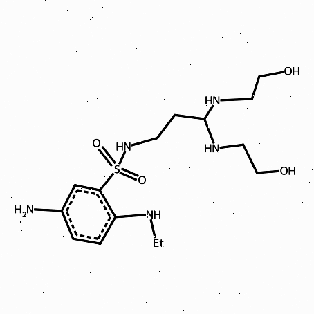 CCNc1ccc(N)cc1S(=O)(=O)NCCC(NCCO)NCCO